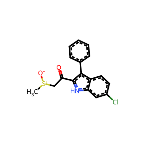 C[S+]([O-])CC(=O)c1[nH]c2cc(Cl)ccc2c1-c1ccccc1